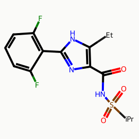 CCc1[nH]c(-c2c(F)cccc2F)nc1C(=O)NS(=O)(=O)C(C)C